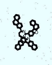 C1=C(c2ccc3ccccc3c2)N=C(c2cc3c(cc2-n2c4ccccc4c4cc5ccccc5cc42)oc2ccc4ccccc4c23)N=C(c2ccc3c(ccc4ccccc43)c2)C1